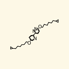 c1cc(-c2ccc(OCCCCCCC3CC3)nn2)ncc1OCCCCCCC1CC1